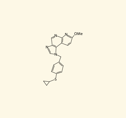 COc1ccc2c(ncc3ncn(Cc4ccc(SC5CC5)cc4)c32)n1